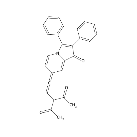 CC(=O)C(C=C=C1C=CN2C(=C1)C(=O)C(c1ccccc1)=C2c1ccccc1)C(C)=O